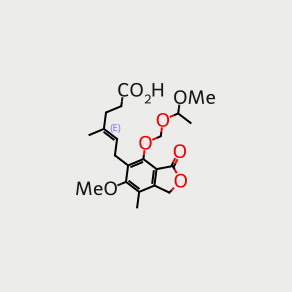 COc1c(C)c2c(c(OCOC(C)OC)c1C/C=C(\C)CCC(=O)O)C(=O)OC2